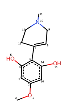 COc1cc(O)c(C2=CCN(C)CC2)c(O)c1